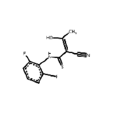 CC(O)=C(C#N)C(=S)Nc1c(F)cccc1F